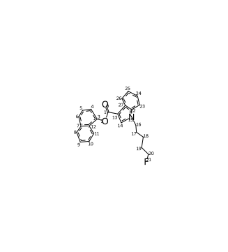 O=C(Oc1cccc2ccccc12)c1cn(CCCCCF)c2ccccc12